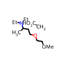 CC(=O)O.CCN(CC)C(C)CCOCCOC